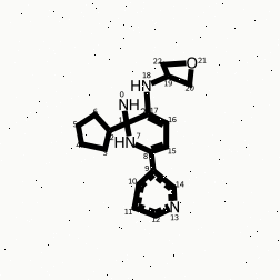 NC1(C2CCCC2)NC(c2cccnc2)=CC=C1NC1COC1